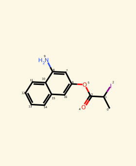 CC(I)C(=O)Oc1cc(N)c2ccccc2c1